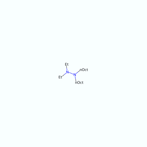 CCCCCCCCN(CCCCCCCC)N(CC)CC